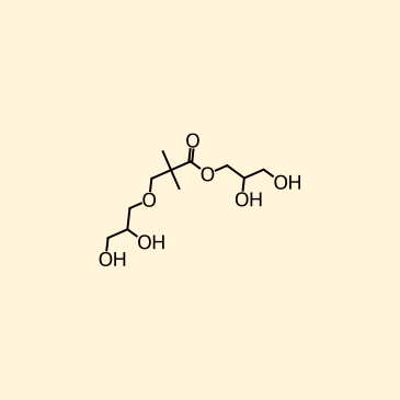 CC(C)(COCC(O)CO)C(=O)OCC(O)CO